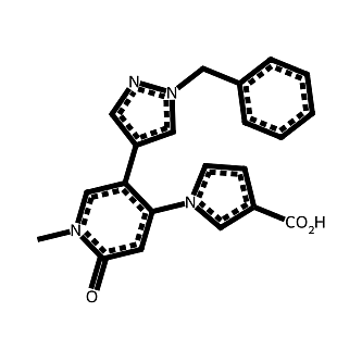 Cn1cc(-c2cnn(Cc3ccccc3)c2)c(-n2ccc(C(=O)O)c2)cc1=O